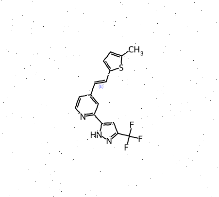 Cc1ccc(/C=C/c2ccnc(-c3cc(C(F)(F)F)n[nH]3)c2)s1